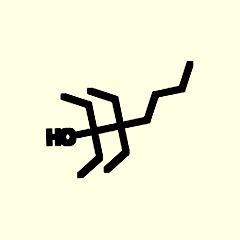 CCCCC(CC)(CC)C(O)(CC)CC